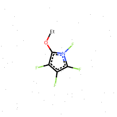 CCOc1c(F)c(F)c(F)n1F